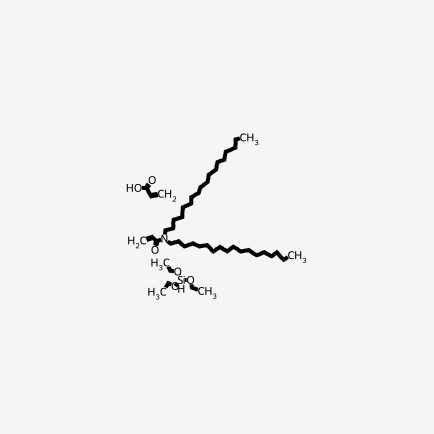 C=CC(=O)N(CCCCCCCCCCCCCCCCCC)CCCCCCCCCCCCCCCCCC.C=CC(=O)O.CCO[SiH](OCC)OCC